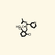 C=C(C)/N=C(/c1cccnc1)N(Cc1c(Cl)cccc1Cl)C(=O)O